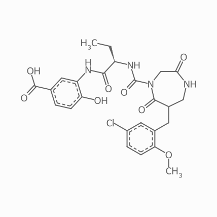 CC[C@@H](NC(=O)N1CC(=O)NCC(Cc2cc(Cl)ccc2OC)C1=O)C(=O)Nc1cc(C(=O)O)ccc1O